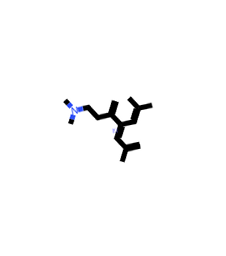 C=C(C)/C=C(\C=C(C)C)C(=C)CCN(C)C